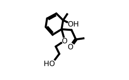 CC(=O)CC1(OCCO)C=CC=CC1(C)O